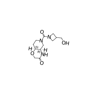 O=C1CO[C@H]2CCN(C(=O)N3CC(CO)C3)C[C@H]2N1